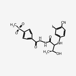 C[C@H](O)C(Nc1ccc(C#N)c(I)c1)C(=O)NNC(=O)c1ccc(S(C)(=O)=O)cc1